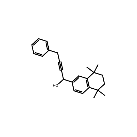 CC1(C)CCC(C)(C)c2cc(C(O)C#CCc3ccccc3)ccc21